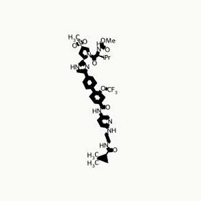 COC(=O)N[C@H](C(=O)N1C[C@@H](S(C)(=O)=O)C[C@H]1c1nc(-c2ccc(-c3ccc(C(=O)Nc4ccc(NCCNC(=O)[C@H]5CC5(C)C)nc4)cc3OC(F)(F)F)cc2)c[nH]1)C(C)C